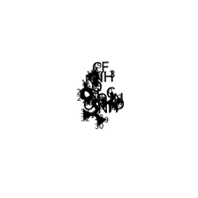 Cc1nonc1C(=O)N[C@H](c1nc2cc(CN3C[C@@H](C(F)(F)F)NC3=O)ccc2o1)C(C1CC1)C1CC1